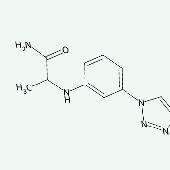 CC(Nc1cccc(-n2cnnn2)c1)C(N)=O